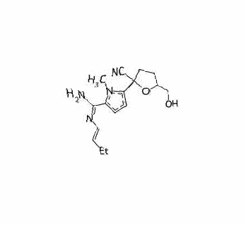 CC/C=C/N=C(/N)c1ccc(C2(C#N)CCC(CO)O2)n1C